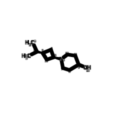 CC(C)[C@H]1C[C@@H](N2CCC(O)CC2)C1